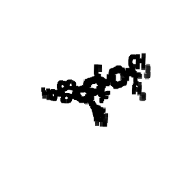 CC(C)N1CCN(c2c(F)cc3c(=O)c(OC(=O)O)cn(C4CC4)c3c2F)CC1.I